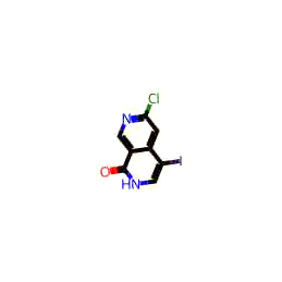 O=c1[nH]cc(I)c2cc(Cl)ncc12